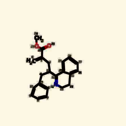 C=C(CC(Cc1ccccc1)C1=NCCc2ccccc21)C(=O)OC